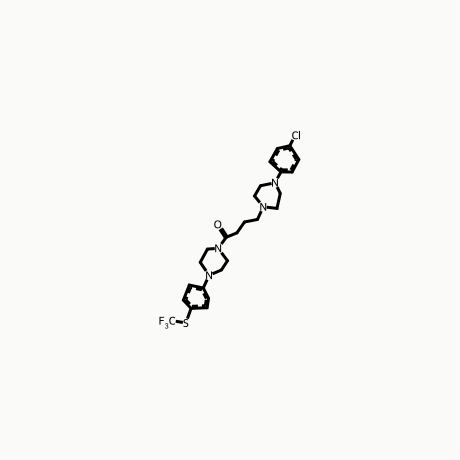 O=C(CCCN1CCN(c2ccc(Cl)cc2)CC1)N1CCN(c2ccc(SC(F)(F)F)cc2)CC1